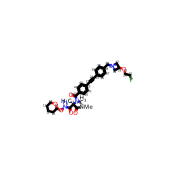 CNC(=O)[C@@](C)(C(=O)NOC1CCCCO1)N(C)C(=O)c1ccc(C#Cc2ccc(CN3CC(OCCF)C3)cc2)cc1